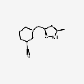 CC1CC(CN2CCC[C@H](C#N)C2)ON1